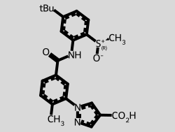 Cc1ccc(C(=O)Nc2cc(C(C)(C)C)ccc2[S@+](C)[O-])cc1-n1cc(C(=O)O)cn1